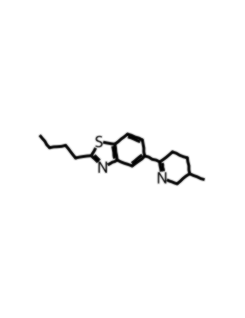 CCCCc1nc2cc(C3=NCC(C)CC3)ccc2s1